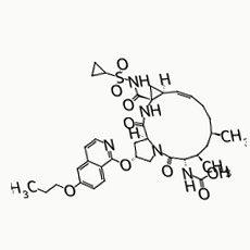 CCCOc1ccc2c(O[C@@H]3C[C@H]4C(=O)N[C@]5(C(=O)NS(=O)(=O)C6CC6)C[C@H]5/C=C\CC[C@@H](C)C[C@@H](C)[C@H](NC(=O)O)C(=O)N4C3)nccc2c1